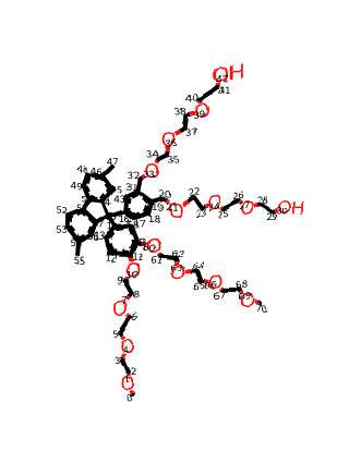 COCCOCCOCCOc1ccc(C2(c3ccc(COCCOCCOCCO)c(COCCOCCOCCO)c3)c3cc(C)ccc3-c3ccc(C)cc32)cc1OCCOCCOCCOC